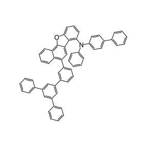 c1ccc(-c2ccc(N(c3ccccc3)c3cccc4oc5c6ccccc6c(-c6cccc(-c7cc(-c8ccccc8)cc(-c8ccccc8)c7)c6)cc5c34)cc2)cc1